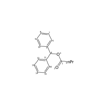 [CH2]CCC(=O)OC(c1ccccc1)c1ccccc1